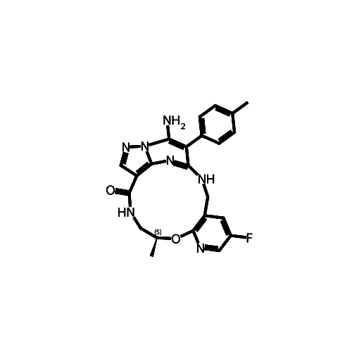 Cc1ccc(-c2c3nc4c(cnn4c2N)C(=O)NC[C@H](C)Oc2ncc(F)cc2CN3)cc1